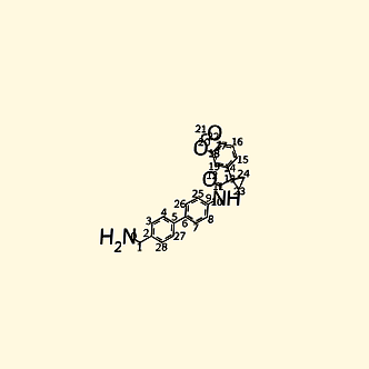 NCc1ccc(-c2ccc(NC(=O)C3(c4ccc5c(c4)OCO5)CC3)cc2)cc1